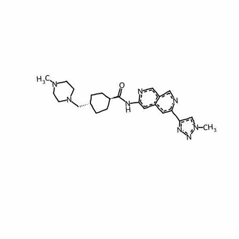 CN1CCN(C[C@H]2CC[C@H](C(=O)Nc3cc4cc(-c5cn(C)nn5)ncc4cn3)CC2)CC1